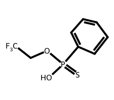 OP(=S)(OCC(F)(F)F)c1ccccc1